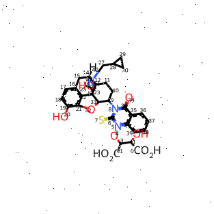 O=C(O)C(O)C(On1c(=S)n(C2CC[C@@]3(O)[C@H]4Cc5ccc(O)c6c5[C@@]3(CCN4CC3CC3)C2O6)c(=O)c2ccccc21)C(=O)O